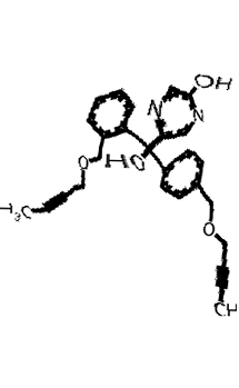 CC#CCOCc1ccc(C(O)(c2cnc(O)cn2)c2ccccc2COCC#CC)cc1